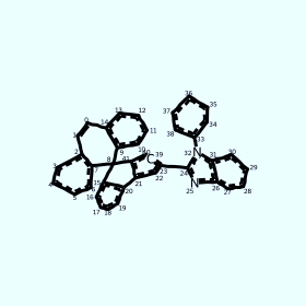 C1=Cc2ccccc2C2(c3ccccc31)c1ccccc1-c1cc(-c3nc4ccccc4n3-c3ccccc3)ccc12